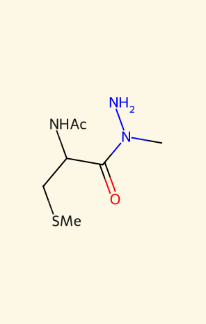 CSCC(NC(C)=O)C(=O)N(C)N